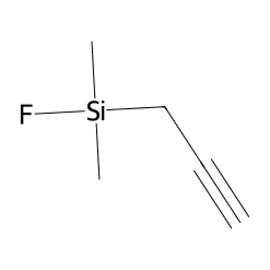 C#CC[Si](C)(C)F